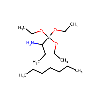 CCCCCCC.CCO[Si](OCC)(OCC)C(N)CC